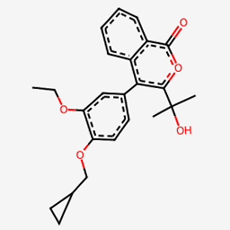 CCOc1cc(-c2c(C(C)(C)O)oc(=O)c3ccccc23)ccc1OCC1CC1